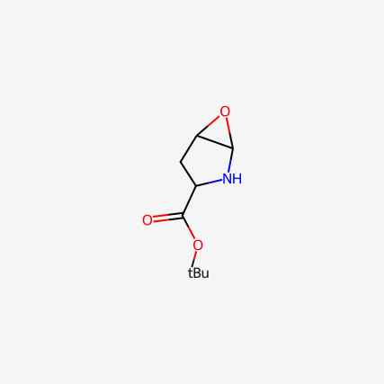 CC(C)(C)OC(=O)C1CC2OC2N1